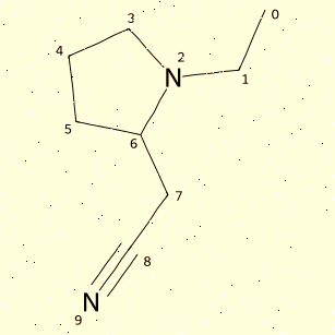 CCN1CCCC1CC#N